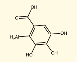 O=C(O)c1cc(O)c(O)c(O)[c]1[AlH2]